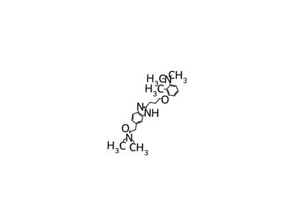 CCN(CC)C(=O)Cc1ccc2nc(CCCOc3cccc(N(C)C)c3C)[nH]c2c1